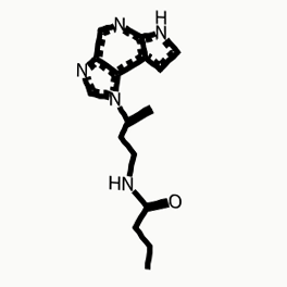 C=C(CCNC(=O)CCC)n1cnc2cnc3[nH]ccc3c21